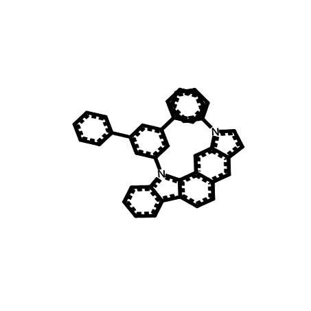 c1ccc(-c2cc(-c3ccccc3)cc(-n3c4ccccc4c4ccc5cc6ccn(-c7ccccc7)c6cc5c43)c2)cc1